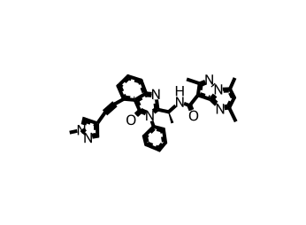 Cc1cc(C)n2nc(C)c(C(=O)N[C@@H](C)c3nc4cccc(C#Cc5cnn(C)c5)c4c(=O)n3-c3ccccc3)c2n1